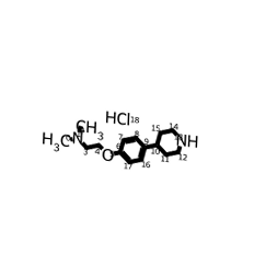 CN(C)CCOc1ccc(C2CCNCC2)cc1.Cl